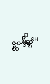 O=C(N[C@@H](C=C1CCC(c2ccccc2CN2CCCCC2=O)CC1)Cc1ccc(Cl)cc1)c1cc(=O)c2ccc(O)cc2o1